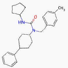 Cc1ccc(CN(C(=O)NC2CCCC2)C2CCC(c3ccccc3)CC2)cc1